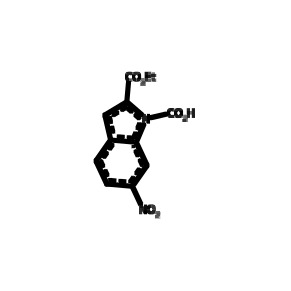 CCOC(=O)c1cc2ccc([N+](=O)[O-])cc2n1C(=O)O